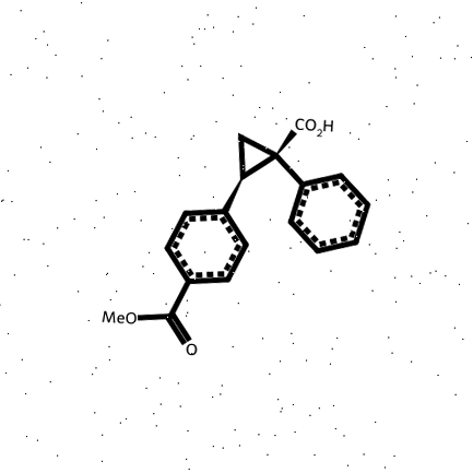 COC(=O)c1ccc([C@H]2C[C@]2(C(=O)O)c2ccccc2)cc1